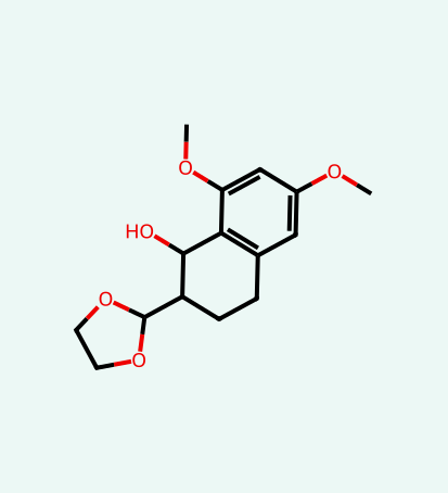 COc1cc2c(c(OC)c1)C(O)C(C1OCCO1)CC2